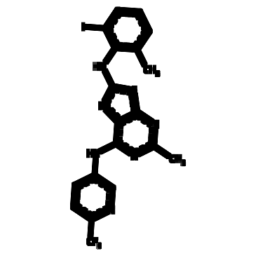 Cc1nc(Nc2ccc(C(F)(F)F)nc2)c2nc(Nc3c(C)cccc3I)sc2n1